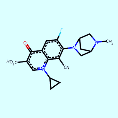 CN1CC2CC1CN2c1c(F)cc2c(=O)c(C(=O)O)cn(C3CC3)c2c1C#N